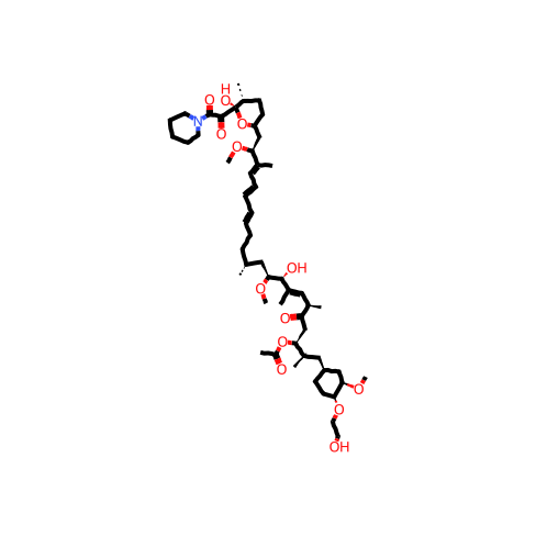 CO[C@@H](CC1CC[C@@H](C)[C@](O)(C(=O)C(=O)N2CCCCC2)O1)/C(C)=C/C=C/C=C/CC[C@@H](C)C[C@H](OC)[C@H](O)/C(C)=C/[C@@H](C)C(=O)C[C@H](OC(C)=O)[C@H](C)C[C@@H]1CC[C@@H](OCCO)[C@H](OC)C1